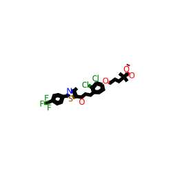 COC(=O)C(C)(C)CCCOc1ccc(CCC(=O)c2sc(-c3ccc(C(F)(F)F)cc3)nc2C)c(Cl)c1Cl